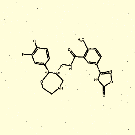 Cc1ccc(-c2noc(=O)[nH]2)cc1C(=O)NC[C@@H]1CNCCO[C@H]1c1ccc(Cl)c(F)c1